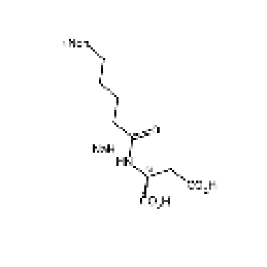 CCCCCCCCCCCCCC(=O)N[C@@H](CC(=O)O)C(=O)O.[NaH]